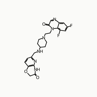 O=C1COc2ccc(CNC3CCN(CCn4c(=O)cnc5cc(F)cc(F)c54)CC3)nc2N1